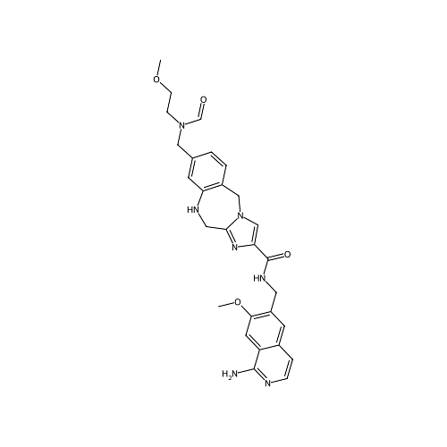 COCCN(C=O)Cc1ccc2c(c1)NCc1nc(C(=O)NCc3cc4ccnc(N)c4cc3OC)cn1C2